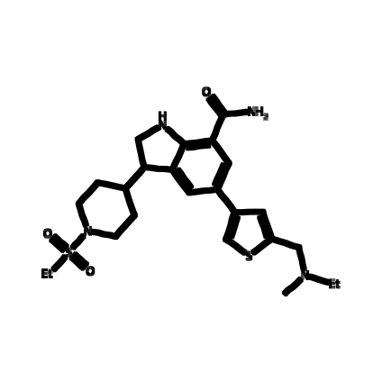 CCN(C)Cc1cc(-c2cc(C(N)=O)c3c(c2)C(C2CCN(S(=O)(=O)CC)CC2)CN3)cs1